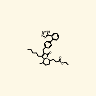 CCCCCc1c(Cc2ccc(-c3ccccc3-c3nnn[nH]3)cc2)c(=O)n2n1C(C)CCC2CCC(=O)OCC